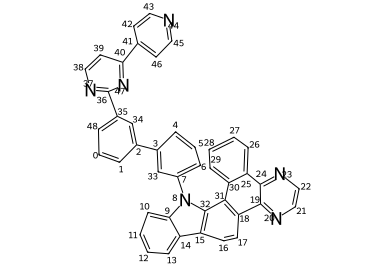 c1cc(-c2cccc(-n3c4ccccc4c4ccc5c6nccnc6c6ccccc6c5c43)c2)cc(-c2nccc(-c3ccncc3)n2)c1